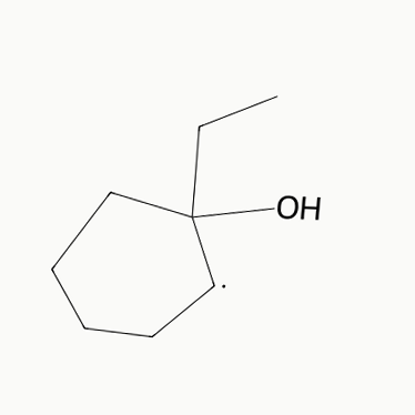 CCC1(O)[CH]CCCC1